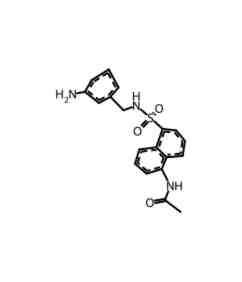 CC(=O)Nc1cccc2c(S(=O)(=O)NCc3cccc(N)c3)cccc12